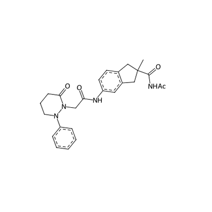 CC(=O)NC(=O)C1(C)Cc2ccc(NC(=O)CN3C(=O)CCCN3c3ccccc3)cc2C1